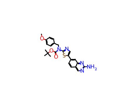 COc1ccc(CN(C(=O)OC(C)(C)C)c2ncc(-c3ccc4cnc(N)nc4c3)s2)cc1